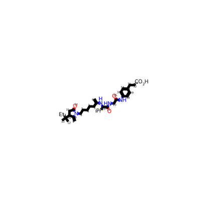 C=C(CCCCCN1C(=C)C(C(C)(C)CC)CC1=O)NC(C(=O)NCC(=O)Nc1ccc(CCC(=O)O)cc1)C(C)C